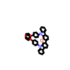 c1ccc(-c2ccc(-n3c4ccccc4c4ccc5c6ccc7c8ccccc8n(-c8ccc(-c9ccccc9)cc8)c7c6oc5c43)cc2)cc1